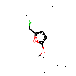 COc1ccc(CCl)o1